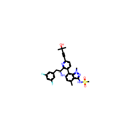 Cc1ccc(-c2ccc(C#CC(C)(C)O)nc2[C@@H](N)Cc2cc(F)cc(F)c2)c2c1c(NS(C)(=O)=O)nn2C